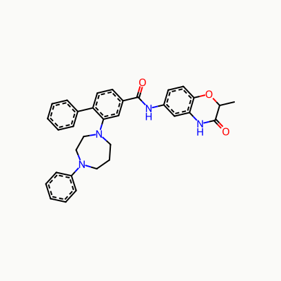 CC1Oc2ccc(NC(=O)c3ccc(-c4ccccc4)c(N4CCCN(c5ccccc5)CC4)c3)cc2NC1=O